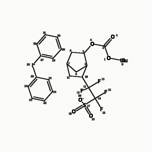 CC(C)(C)OC(=O)OC1CC2CC1C(C(F)(F)C(F)(F)S(=O)(=O)[O-])C2.c1ccc([I+]c2ccccc2)cc1